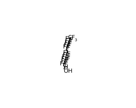 OCC(I)CC(F)(F)C(F)(F)C(F)(F)C(F)(F)C(F)(F)C(F)(F)C=CC(F)(F)C(F)(F)C(F)(F)C(F)(F)C(F)(F)C(F)(F)F